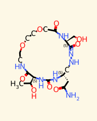 CC(O)[C@@H]1NC(=O)N[C@@H](CC(N)=O)CNNC(=O)[C@H](CO)NC(=O)COCCOCCNC1=O